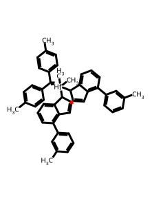 Cc1ccc([C](c2ccc(C)cc2)=[Hf]([CH3])([CH3])([CH]2C=Cc3c(-c4cccc(C)c4)cccc32)[CH]2C=Cc3c(-c4cccc(C)c4)cccc32)cc1